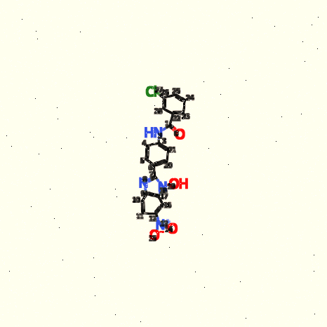 O=C(Nc1ccc(-c2nc3ccc([N+](=O)[O-])cc3n2O)cc1)c1cccc(Cl)c1